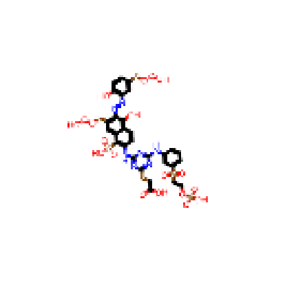 O=C(O)CSc1nc(Nc2cccc(S(=O)(=O)CCOS(=O)(=O)O)c2)nc(Nc2ccc3c(O)c(N=Nc4cc(SOOO)ccc4O)c(SOOO)cc3c2S(=O)(=O)O)n1